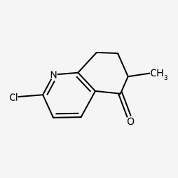 CC1CCc2nc(Cl)ccc2C1=O